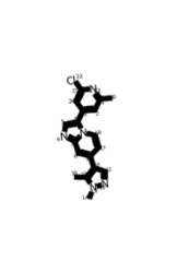 Cc1cc(-c2cnc3cc(-c4cnn(C)c4C)ccn23)cc(Cl)n1